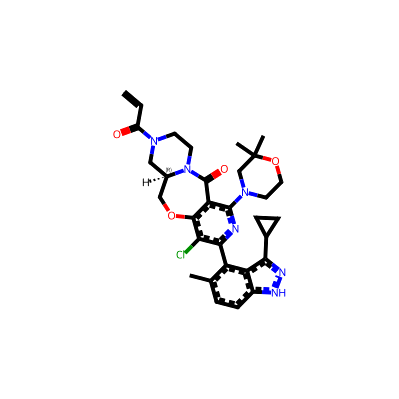 C=CC(=O)N1CCN2C(=O)c3c(N4CCOC(C)(C)C4)nc(-c4c(C)ccc5[nH]nc(C6CC6)c45)c(Cl)c3OC[C@H]2C1